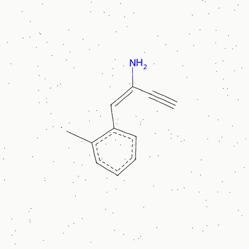 C#C/C(N)=C\c1ccccc1C